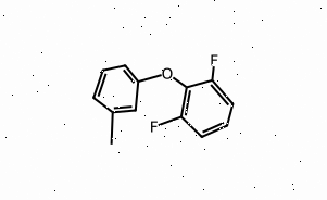 Cc1cccc(Oc2c(F)cccc2F)c1